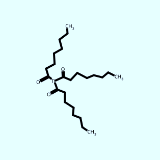 CCCCCCC[C](=O)[Ti]([C](=O)CCCCCCC)[C](=O)CCCCCCC